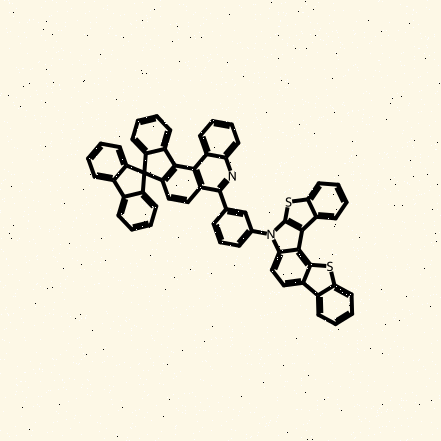 c1cc(-c2nc3ccccc3c3c4c(ccc23)C2(c3ccccc3-c3ccccc32)c2ccccc2-4)cc(-n2c3ccc4c5ccccc5sc4c3c3c4ccccc4sc32)c1